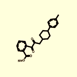 COC(=O)c1ccccc1C(=O)C(=O)CC1CCC(c2ccc(C)cc2)CC1